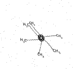 CCCCCCCCCCCCCCCS(=O)(=O)c1c(S(=O)(=O)CCCCCCCCCCCCCCC)c(S(=O)(=O)CCCCCCCCCCCCCCC)c(S(=O)(=O)CCCCCCCCCCCCCCC)c(S(=O)(=O)CCCCCCCCCCCCCCC)c1S(=O)(=O)CCCCCCCCCCCCCCC